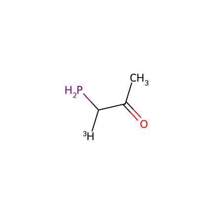 [3H]C(P)C(C)=O